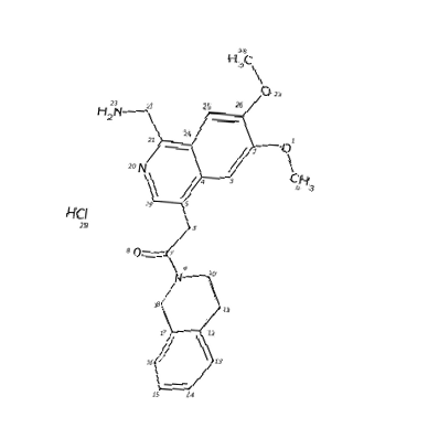 COc1cc2c(CC(=O)N3CCc4ccccc4C3)cnc(CN)c2cc1OC.Cl